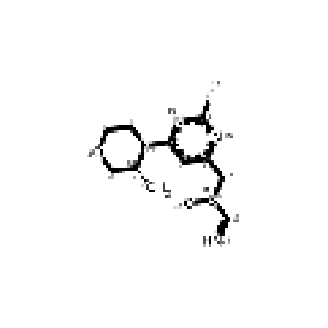 C[C@@H]1COCCN1c1cc(C[S+]([O-])C=N)nc(Cl)n1